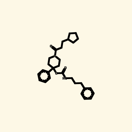 O=C(NCCCc1ccccc1)OC1(c2ccccc2)CCN(C(=O)CCC2CCCC2)CC1